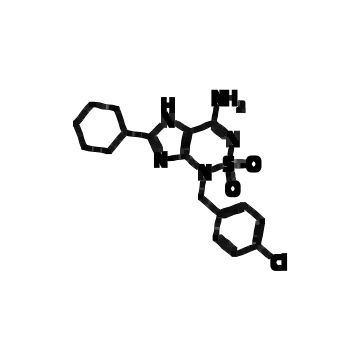 NC1=NS(=O)(=O)N(Cc2ccc(Cl)cc2)c2nc(C3CCCCC3)[nH]c21